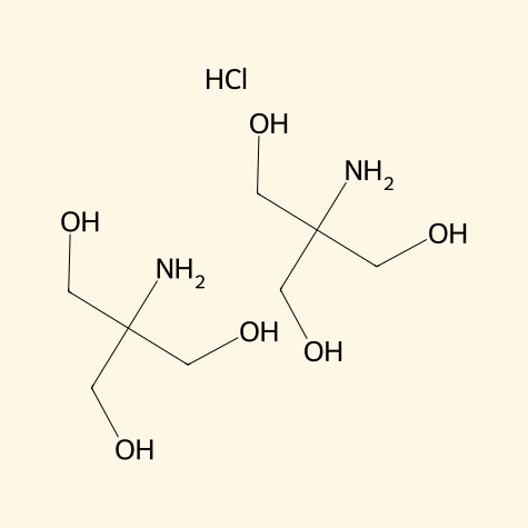 Cl.NC(CO)(CO)CO.NC(CO)(CO)CO